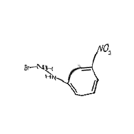 O=[N+]([O-])c1cccc(NNBr)c1